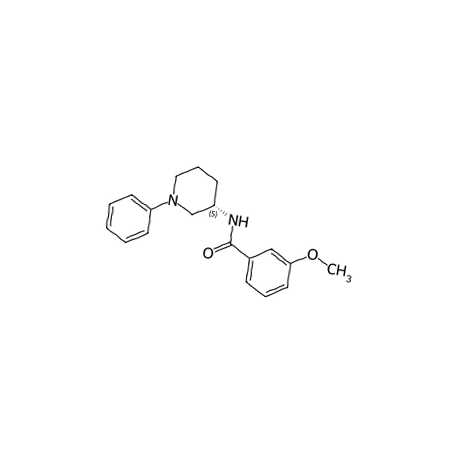 COc1cccc(C(=O)N[C@H]2CCCN(c3ccccc3)C2)c1